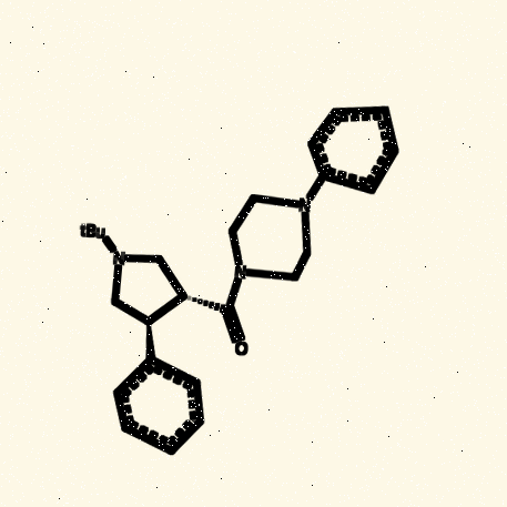 CC(C)(C)N1C[C@H](C(=O)N2CCN(c3ccccc3)CC2)[C@@H](c2ccccc2)C1